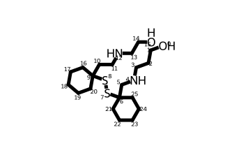 OCCCNCC1(SSC2(CCNCCO)CCCCC2)CCCCC1